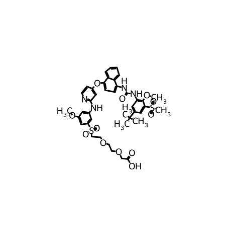 COc1cc(Nc2cc(Oc3ccc(NC(=O)Nc4cc(C(C)(C)C)cc(S(C)(=O)=O)c4OC)c4ccccc34)ccn2)cc(S(=O)(=O)CCOCCOCC(=O)O)c1